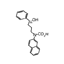 O=C(O)N(CCC[C@@H](O)c1ccccc1)c1ccc2ccccc2c1